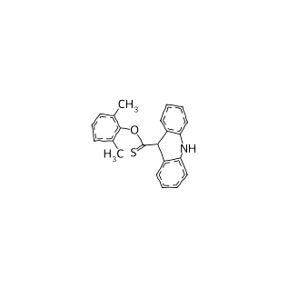 Cc1cccc(C)c1OC(=S)C1c2ccccc2Nc2ccccc21